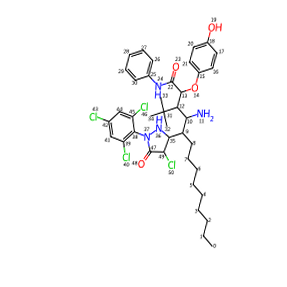 CCCCCCCCCC(C(N)C(C(Oc1ccc(O)cc1)C(=O)Nc1ccccc1)C(C)(C)C)C1NN(c2c(Cl)cc(Cl)cc2Cl)C(=O)C1Cl